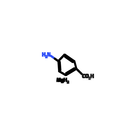 Nc1ccc(C(=O)O)cc1.[MgH2]